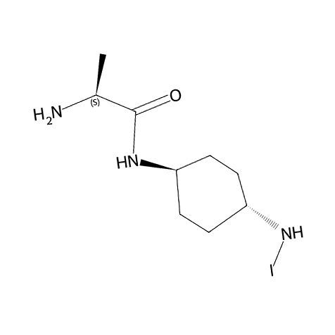 C[C@H](N)C(=O)N[C@H]1CC[C@H](NI)CC1